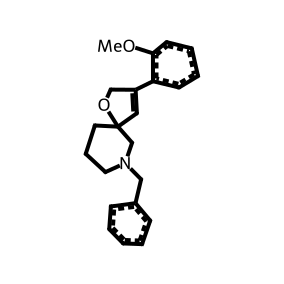 COc1ccccc1C1=CC2(CCCN(Cc3ccccc3)C2)OC1